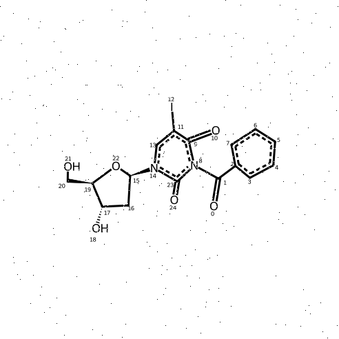 O=C(c1ccccc1)n1c(=O)c(I)cn([C@H]2C[C@H](O)[C@@H](CO)O2)c1=O